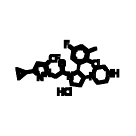 Cc1cc(F)cc([C@H]2[C@@H](N3CCNCC3)CCN2C(=O)Cn2nc(C3CC3)cc2C(F)(F)F)c1Cl.Cl